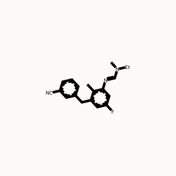 CCN(C)C=Nc1cc(F)cc(Cc2cccc(C#N)c2)c1C